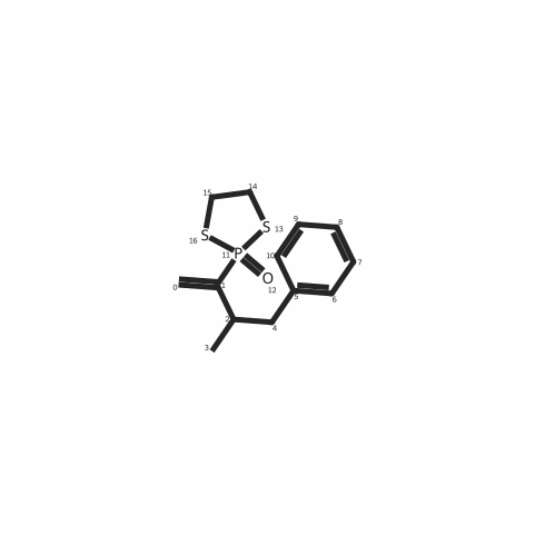 C=C(C(C)Cc1ccccc1)P1(=O)SCCS1